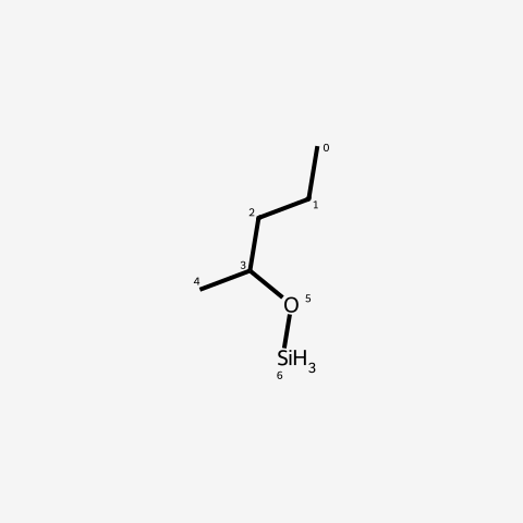 CCCC(C)O[SiH3]